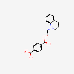 COC(=O)c1ccc(C(=O)OCCN2CCCc3ccccc32)cc1